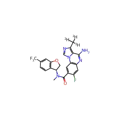 [2H]C([2H])([2H])c1ncn2c1c(N)nc1cc(F)c(C(=O)N(C)[C@@H]3COc4cc(C(F)(F)F)ccc43)cc12